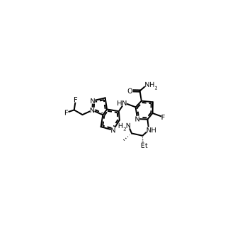 CC[C@@H](Nc1nc(Nc2cncc3c2cnn3CC(F)F)c(C(N)=O)cc1F)[C@H](C)N